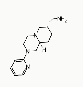 NC[C@@H]1CC[C@H]2CN(c3ccccn3)CCN2C1